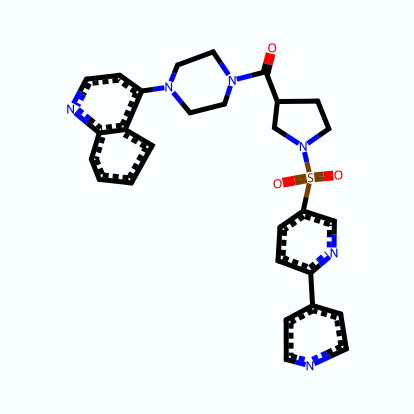 O=C(C1CCN(S(=O)(=O)c2ccc(-c3ccncc3)nc2)C1)N1CCN(c2ccnc3ccccc23)CC1